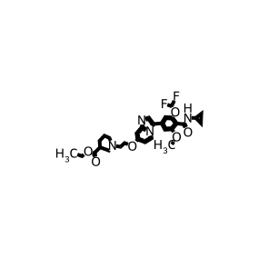 CCOC(=O)C1CCCN(CCOc2ccn3c(-c4cc(OC)c(C(=O)NC5CC5)c(OC(F)F)c4)cnc3c2)C1